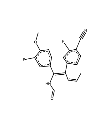 C/C=C\C(=C(/NC=O)c1ccc(OC)c(F)c1)c1ccc(C#N)c(F)c1